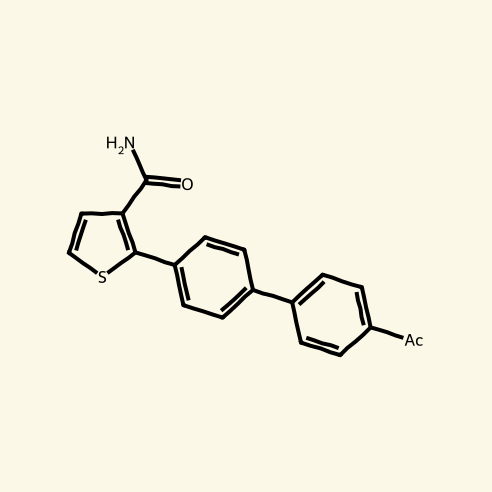 CC(=O)c1ccc(-c2ccc(-c3sccc3C(N)=O)cc2)cc1